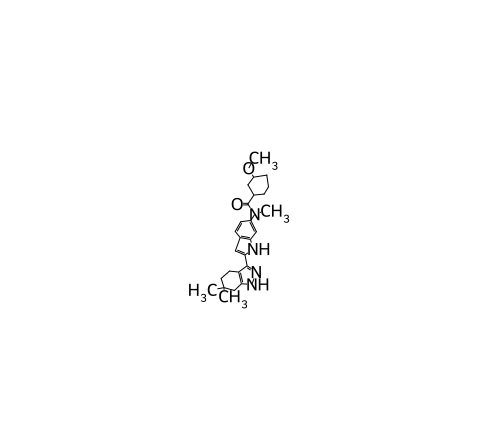 COC1CCCC(C(=O)N(C)c2ccc3cc(-c4n[nH]c5c4CCC(C)(C)C5)[nH]c3c2)C1